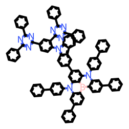 c1ccc(-c2ccc(N3c4cc(-c5ccccc5)ccc4B4c5ccc(-c6ccccc6)cc5N(c5ccc(-c6ccccc6)cc5)c5cc(-c6ccc7c(c6)c6ccccc6n7-c6ccc(-c7nc(-c8ccccc8)nc(-c8ccccc8)n7)cc6-c6nc(-c7ccccc7)nc(-c7ccccc7)n6)cc3c54)cc2)cc1